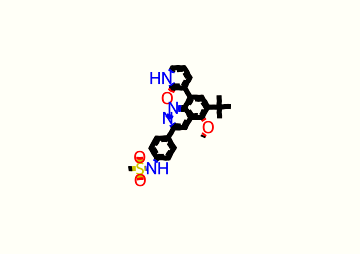 COc1c(C(C)(C)C)cc(-c2ccc[nH]c2=O)c2nnc(-c3ccc(NS(C)(=O)=O)cc3)cc12